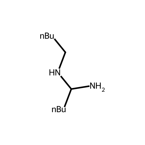 CCCCCNC(N)CCCC